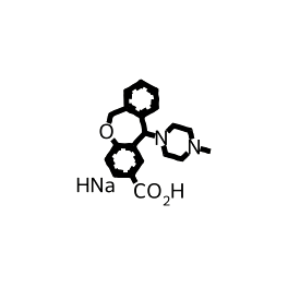 CN1CCN(C2c3ccccc3COc3ccc(C(=O)O)cc32)CC1.[NaH]